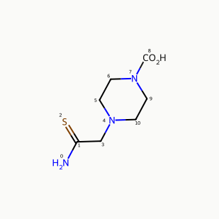 NC(=S)CN1CCN(C(=O)O)CC1